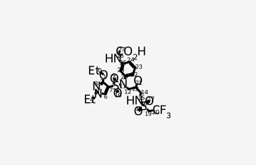 CCOc1nn(CC)cc1S(=O)(=O)N1CC(CNS(=O)(=O)CC(F)(F)F)Oc2ccc(NC(=O)O)cc21